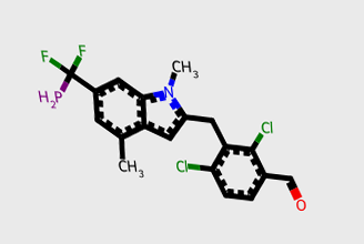 Cc1cc(C(F)(F)P)cc2c1cc(Cc1c(Cl)ccc(C=O)c1Cl)n2C